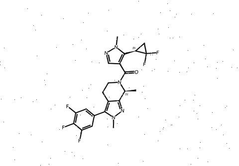 C[C@H]1c2nn(C)c(-c3cc(F)c(F)c(F)c3)c2CCN1C(=O)c1cnn(C)c1[C@H]1CC1(F)F